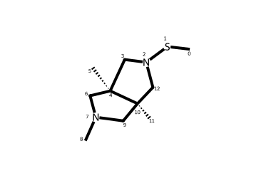 CSN1C[C@]2(C)CN(C)C[C@]2(C)C1